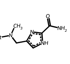 CCN(C)Cc1c[nH]c(C(N)=O)n1